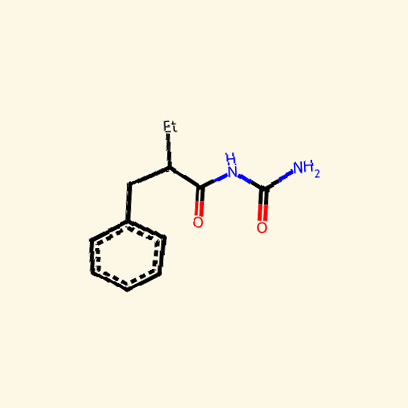 CCC(Cc1ccccc1)C(=O)NC(N)=O